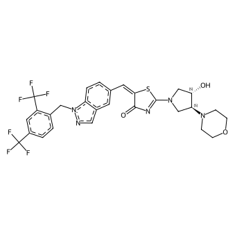 O=C1N=C(N2C[C@H](O)[C@@H](N3CCOCC3)C2)SC1=Cc1ccc2c(cnn2Cc2ccc(C(F)(F)F)cc2C(F)(F)F)c1